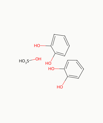 O=S(=O)(O)O.Oc1ccccc1O.Oc1ccccc1O